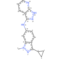 Cn1nc(C2CC2)c2ccc(Nc3n[nH]c4ncccc34)cc21